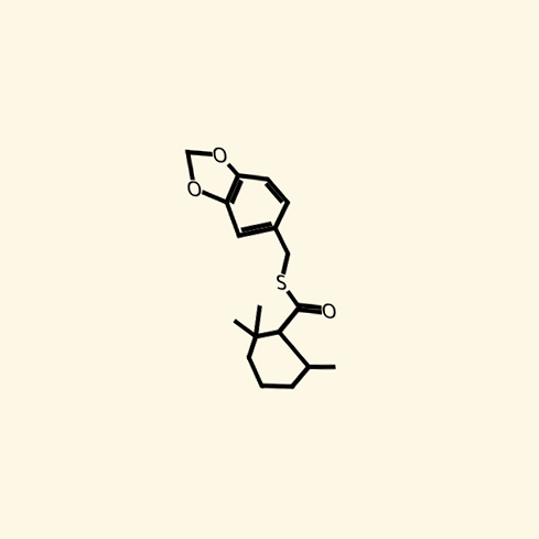 CC1CCCC(C)(C)C1C(=O)SCc1ccc2c(c1)OCO2